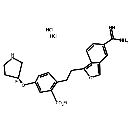 CCOC(=O)c1cc(O[C@H]2CCNC2)ccc1CCc1occ2cc(C(=N)N)ccc12.Cl.Cl